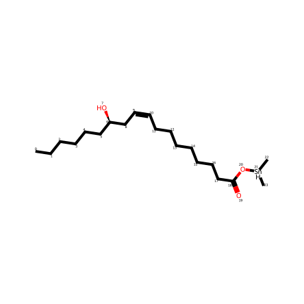 CCCCCC[C@@H](O)C/C=C\CCCCCCCC(=O)[O][SnH]([CH3])[CH3]